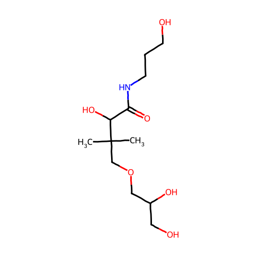 CC(C)(COCC(O)CO)C(O)C(=O)NCCCO